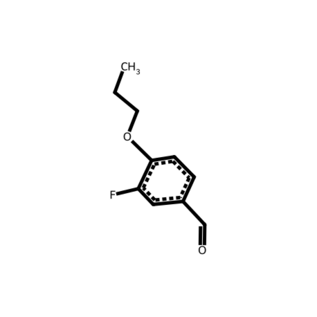 CCCOc1ccc(C=O)cc1F